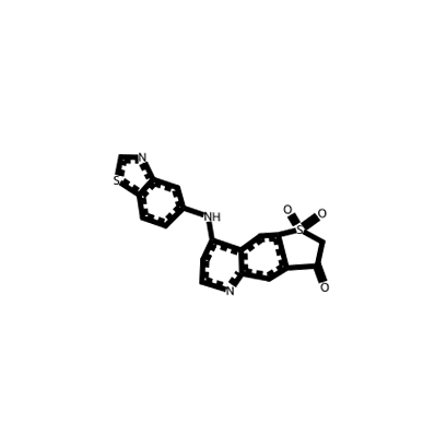 O=C1CS(=O)(=O)c2cc3c(Nc4ccc5scnc5c4)ccnc3cc21